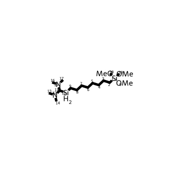 CO[Si](CCCCCCCC[SiH2]C(N(C)C)N(C)C)(OC)OC